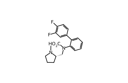 CN1CCC[C@H]1CN(C(=O)O)c1ccccc1-c1ccc(F)c(F)c1